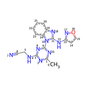 Cc1nc(NCC#N)nc(-n2c(Nc3ccon3)nc3ccccc32)n1